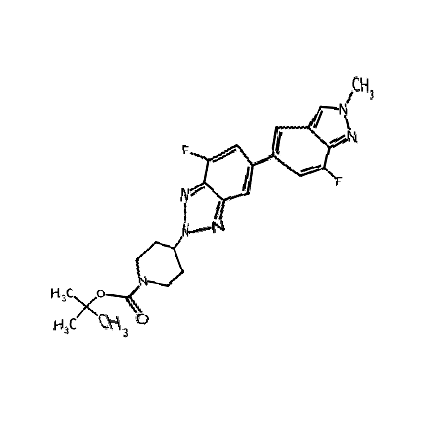 Cn1cc2cc(-c3cc(F)c4nn(C5CCN(C(=O)OC(C)(C)C)CC5)nc4c3)cc(F)c2n1